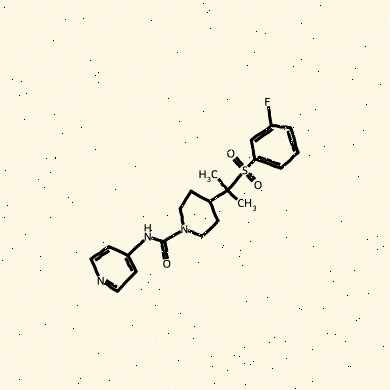 CC(C)(C1CCN(C(=O)Nc2ccncc2)CC1)S(=O)(=O)c1cccc(F)c1